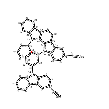 N#Cc1ccc2c(c1)c1ccccc1n2-c1cccc(-n2c3ccc(C#N)cc3c3ccc4c5ccccc5n(-c5ccccc5)c4c32)c1